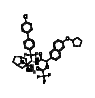 NC1CC2CCC(C1)N2C(=O)[C@@H](NC(=O)[C@H](OC(=O)C(F)(F)F)c1ccc2cc(OC3CCCC3)ccc2c1)C(F)(F)c1ccc(-c2ccc(Cl)cc2)cc1